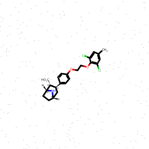 Cc1cc(Cl)c(OCCOc2ccc([C@H]3C[C@@H]4CC[C@@H](N4)[C@@H]3C(=O)O)cc2)c(Cl)c1